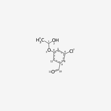 CC(O)Oc1cc(Cl)cc(C=O)c1